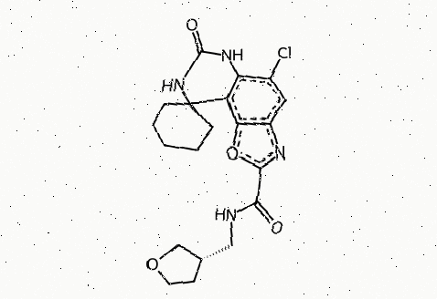 O=C1Nc2c(Cl)cc3nc(C(=O)NC[C@@H]4CCOC4)oc3c2C2(CCCCC2)N1